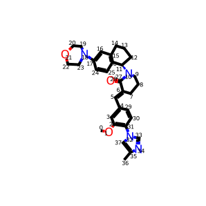 COc1cc(/C=C2\CCCN([C@@H]3CCCc4cc(N5CCOCC5)ccc43)C2=O)ccc1-n1cnc(C)c1